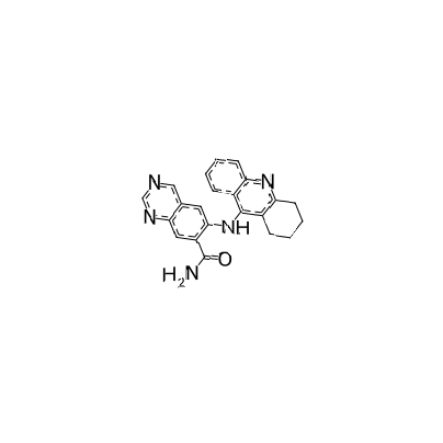 NC(=O)c1cc2ncncc2cc1Nc1c2c(nc3ccccc13)CCCC2